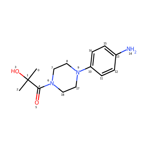 CC(C)(O)C(=O)N1CCN(c2ccc(N)cc2)CC1